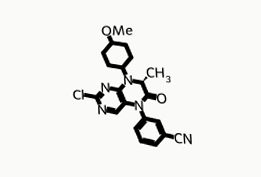 COC1CCC(N2c3nc(Cl)ncc3N(c3cccc(C#N)c3)C(=O)[C@H]2C)CC1